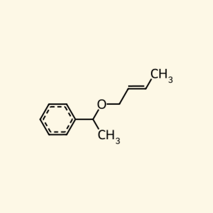 CC=CCOC(C)c1ccccc1